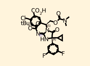 CN(C)C(=O)OC[C@H](c1ccc(Cl)c(C(=O)O)c1)N1C(=O)[C@](c2cc(F)cc(F)c2)(C2CC2)N/C1=N/C(=O)OC(C)(C)C